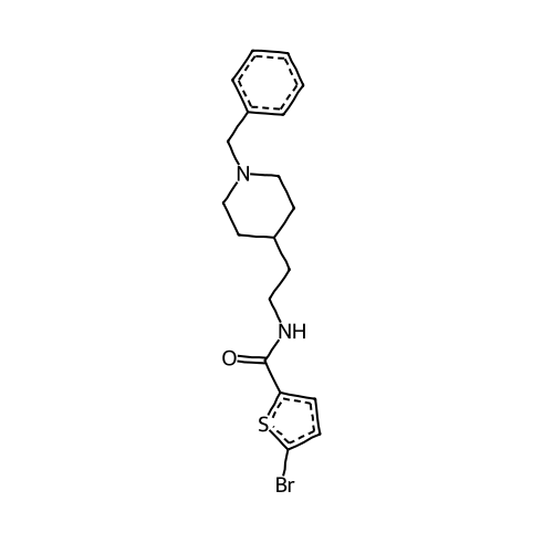 O=C(NCCC1CCN(Cc2ccccc2)CC1)c1ccc(Br)s1